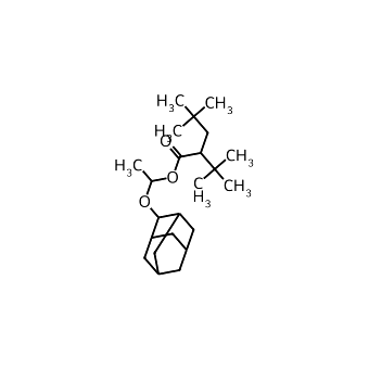 CC(OC(=O)C(CC(C)(C)C)C(C)(C)C)OC1C2CC3CC(C2)CC1C3